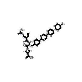 C=C/C(=C\N=C(/C)C(C)(C)C)C(=O)N[C@@H](Cc1ccc(-c2ncc(-c3ccc([C@H]4CC[C@H](CC)CC4)cc3)cn2)cc1)C(=O)N1CC(C(=C)O)C1